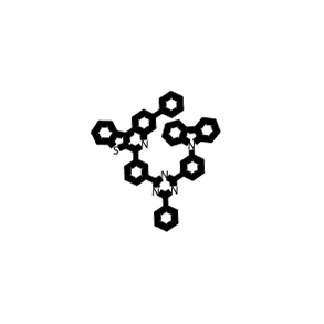 c1ccc(-c2ccc3c(c2)nc(-c2cccc(-c4nc(-c5ccccc5)nc(-c5cccc(-n6c7ccccc7c7ccccc76)c5)n4)c2)c2sc4ccccc4c23)cc1